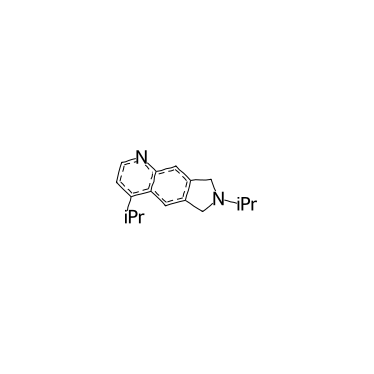 CC(C)c1ccnc2cc3c(cc12)CN(C(C)C)C3